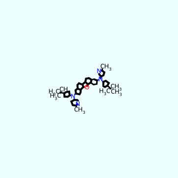 Cc1ccc(N(C2=Cc3ccc4c(oc5c6ccc(N(c7ccc(C(C)(C)C)cc7)c7ccc(C)nc7)cc6ccc45)c3CC2)c2ccc(C(C)(C)C)cc2)cn1